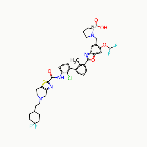 Cc1c(-c2nc3cc(CN4CCC[C@@H]4C(=O)O)c(OC(F)F)cc3o2)cccc1-c1cccc(NC(=O)c2nc3c(s2)CCN(CCC2CCC(F)(F)CC2)C3)c1Cl